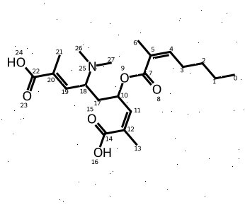 CCCCC=C(C)C(=O)OC(C=C(C)C(=O)O)CC(C=C(C)C(=O)O)N(C)C